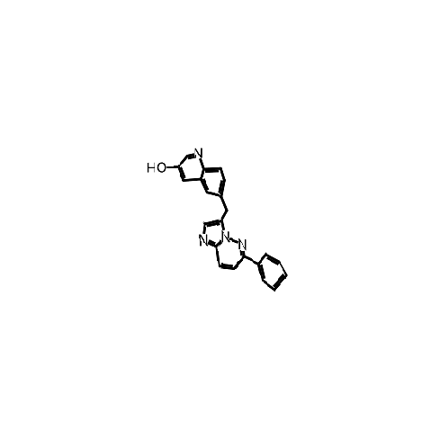 Oc1cnc2ccc(Cc3cnc4ccc(-c5ccccc5)nn34)cc2c1